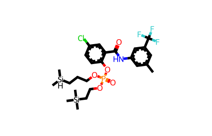 Cc1cc(NC(=O)c2cc(Cl)ccc2OP(=O)(OCCC[SiH](C)C)OCC[Si](C)(C)C)cc(C(F)(F)F)c1